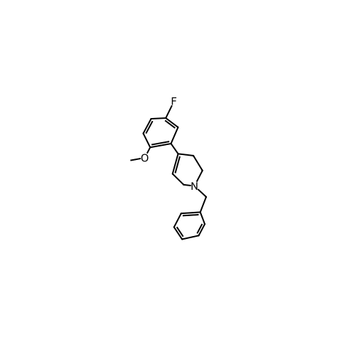 COc1ccc(F)cc1C1=CCN(Cc2ccccc2)CC1